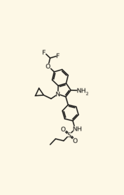 CCCS(=O)(=O)Nc1ccc(-c2c(N)c3ccc(OC(F)F)cc3n2CC2CC2)cc1